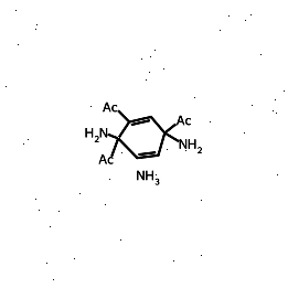 CC(=O)C1=CC(N)(C(C)=O)C=CC1(N)C(C)=O.N